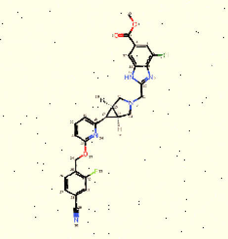 COC(=O)c1cc(Cl)c2nc(CN3C[C@@H]4[C@H](C3)[C@@H]4c3cccc(OCc4ccc(C#N)cc4F)n3)[nH]c2c1